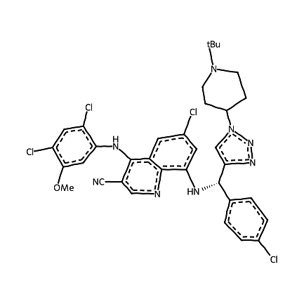 COc1cc(Nc2c(C#N)cnc3c(N[C@@H](c4ccc(Cl)cc4)c4cn(C5CCN(C(C)(C)C)CC5)nn4)cc(Cl)cc23)c(Cl)cc1Cl